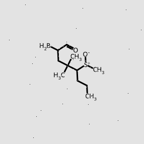 BC(C=O)CC(C)(C)C(CCC)[S+](C)[O-]